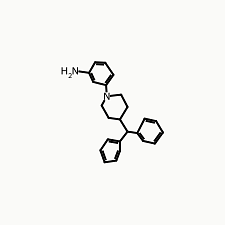 Nc1cccc(N2CCC(C(c3ccccc3)c3ccccc3)CC2)c1